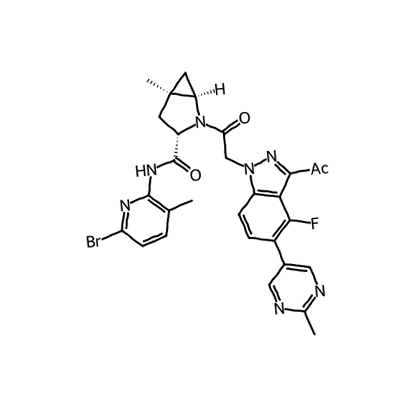 CC(=O)c1nn(CC(=O)N2[C@H](C(=O)Nc3nc(Br)ccc3C)C[C@@]3(C)C[C@@H]23)c2ccc(-c3cnc(C)nc3)c(F)c12